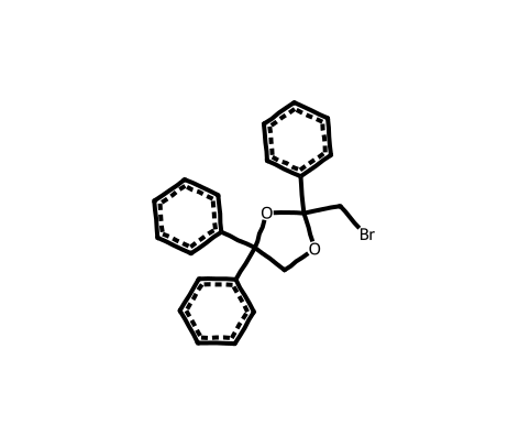 BrCC1(c2ccccc2)OCC(c2ccccc2)(c2ccccc2)O1